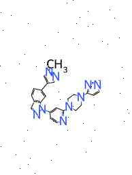 Cn1cc(-c2ccc3cnn(-c4ccnc(N5CCN(c6ccncn6)CC5)c4)c3c2)cn1